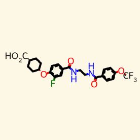 O=C(NCCNC(=O)c1ccc(O[C@H]2CC[C@@H](C(=O)O)CC2)c(F)c1)c1ccc(OC(F)(F)F)cc1